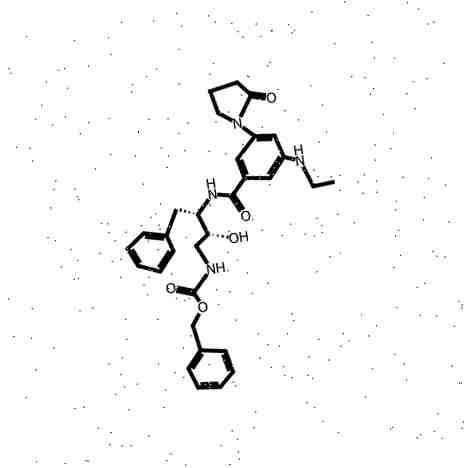 CCNc1cc(C(=O)N[C@@H](Cc2ccccc2)[C@H](O)CNC(=O)OCc2ccccc2)cc(N2CCCC2=O)c1